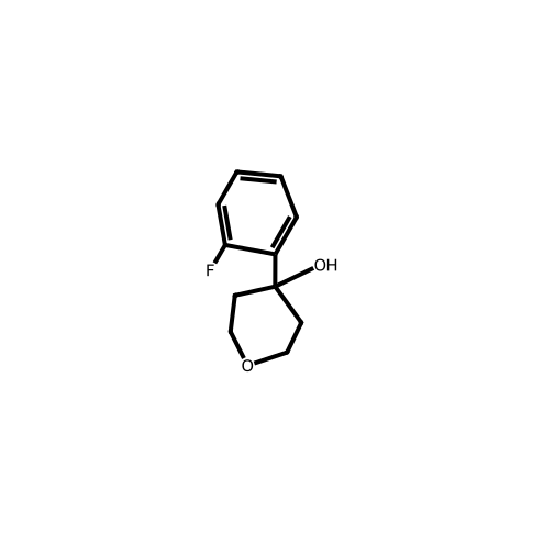 OC1(c2ccccc2F)CCOCC1